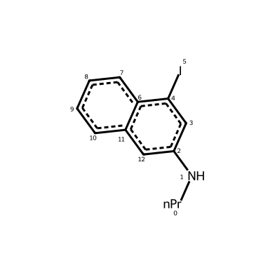 CCCNc1cc(I)c2ccccc2c1